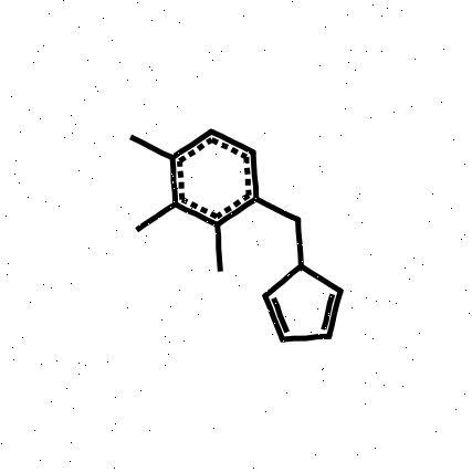 Cc1ccc(C[C]2C=CC=C2)c(C)c1C